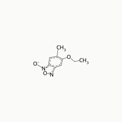 CCOc1cc2no[n+]([O-])c2cc1C